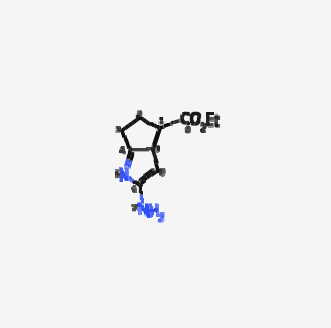 CCOC(=O)C1CCC2=NC(N)=CC21